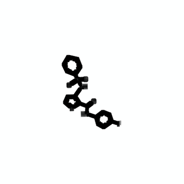 O=C(Nc1ccc(F)cc1)c1sccc1NS(=O)(=O)c1ccccc1